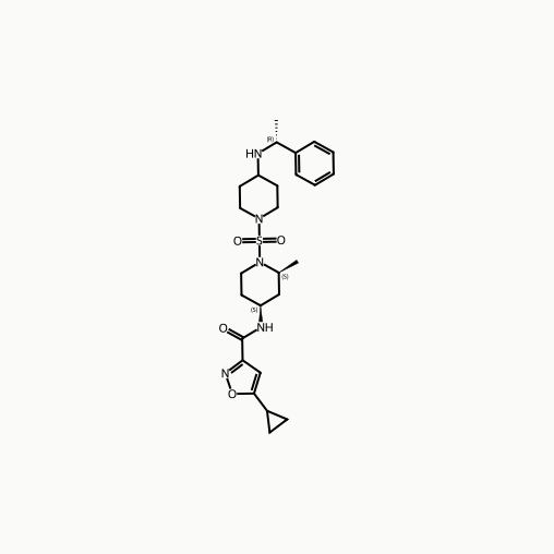 C[C@@H](NC1CCN(S(=O)(=O)N2CC[C@H](NC(=O)c3cc(C4CC4)on3)C[C@@H]2C)CC1)c1ccccc1